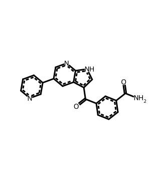 NC(=O)c1cccc(C(=O)c2c[nH]c3ncc(-c4cccnc4)cc23)c1